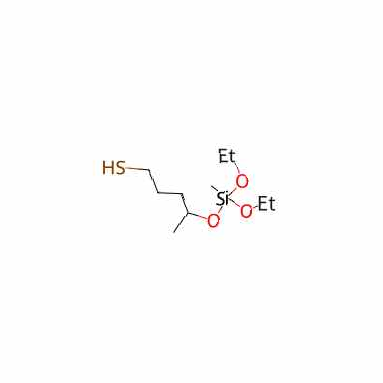 CCO[Si](C)(OCC)OC(C)CCCS